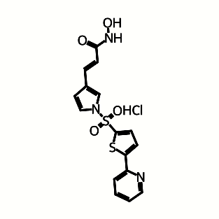 Cl.O=C(C=Cc1ccn(S(=O)(=O)c2ccc(-c3ccccn3)s2)c1)NO